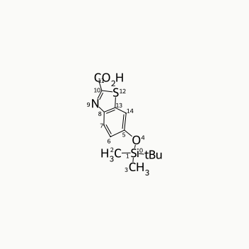 CC(C)(C)[Si](C)(C)Oc1ccc2nc(C(=O)O)sc2c1